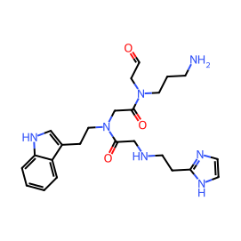 NCCCN(CC=O)C(=O)CN(CCc1c[nH]c2ccccc12)C(=O)CNCCc1ncc[nH]1